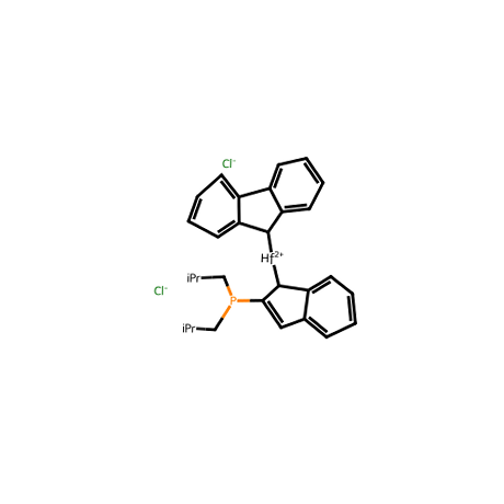 CC(C)CP(CC(C)C)C1=Cc2ccccc2[CH]1[Hf+2][CH]1c2ccccc2-c2ccccc21.[Cl-].[Cl-]